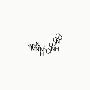 CCn1cc2ncc(N[C@@H](C)c3cccc(NC(=O)Cc4ccc5c(n4)OCCC5)c3)nc2n1